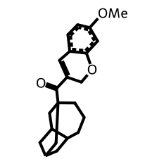 COc1ccc2c(c1)OCC(C(=O)C13CCCC4CC(CC4C1)C3)=C2